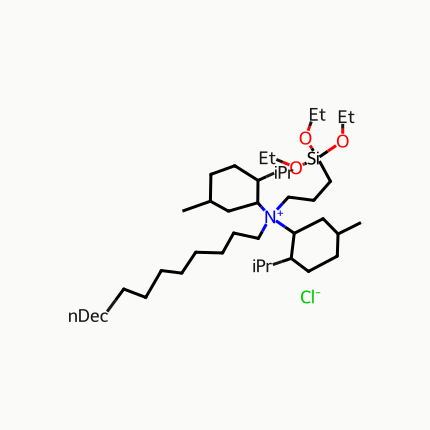 CCCCCCCCCCCCCCCCCC[N+](CCC[Si](OCC)(OCC)OCC)(C1CC(C)CCC1C(C)C)C1CC(C)CCC1C(C)C.[Cl-]